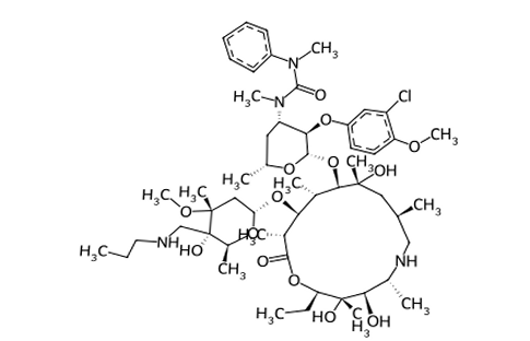 CCCNC[C@]1(O)[C@H](C)O[C@@H](O[C@H]2[C@H](C)[C@@H](O[C@@H]3O[C@H](C)C[C@H](N(C)C(=O)N(C)c4ccccc4)[C@H]3Oc3ccc(OC)c(Cl)c3)[C@](C)(O)C[C@@H](C)CN[C@H](C)[C@@H](O)[C@](C)(O)[C@@H](CC)OC(=O)[C@@H]2C)C[C@@]1(C)OC